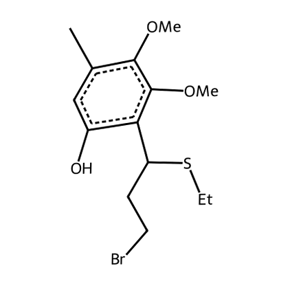 CCSC(CCBr)c1c(O)cc(C)c(OC)c1OC